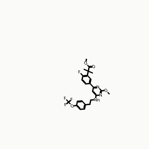 COC(=O)C(C)(C)c1cc(-c2cc(NCCc3ccc(OC(F)(F)F)cc3)nc(OC)n2)ccc1F